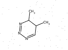 CC1C=NN=NC1C